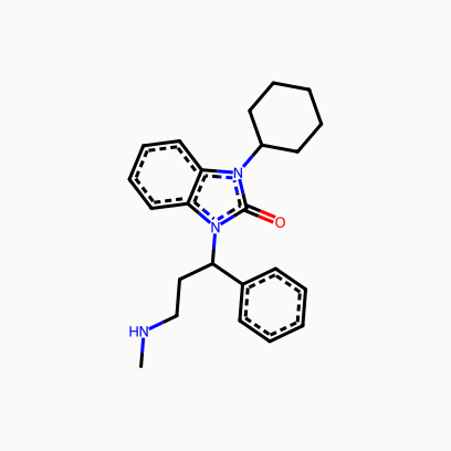 CNCCC(c1ccccc1)n1c(=O)n(C2CCCCC2)c2ccccc21